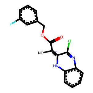 N#C/C(C(=O)OCc1cccc(F)c1)=C1\Nc2ccccc2N=C1Cl